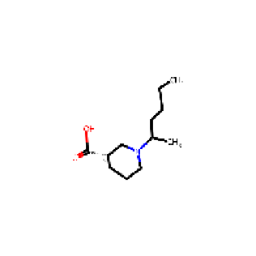 CCCCC(C)N1CCC[C@H](C(=O)O)C1